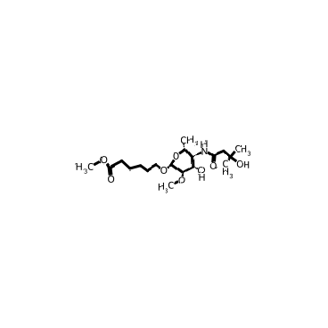 COC(=O)CCCCCO[C@H]1O[C@H](C)[C@@H](NC(=O)CC(C)(C)O)[C@H](O)[C@H]1OC